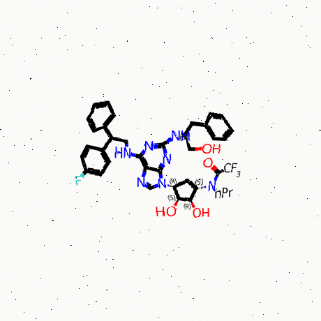 CCCN(C(=O)C(F)(F)F)[C@H]1C[C@@H](n2cnc3c(NCC(c4ccccc4)c4ccc(F)cc4)nc(N[C@H](CO)Cc4ccccc4)nc32)[C@H](O)[C@@H]1O